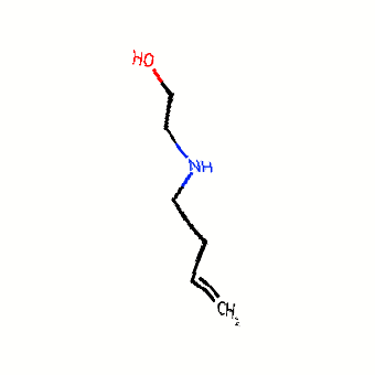 C=CCCNCCO